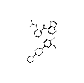 COc1cc(N2CCC(N3CCCC3)CC2)ccc1Nc1nc(Nc2ccccc2SC(C)C)c2sccc2n1